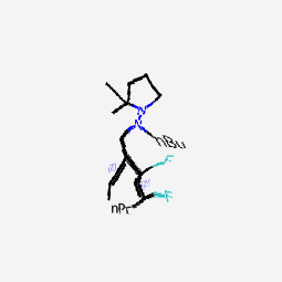 C/C=C(CN(CCCC)N1CCCC1(C)C)\C(F)=C(\F)CCC